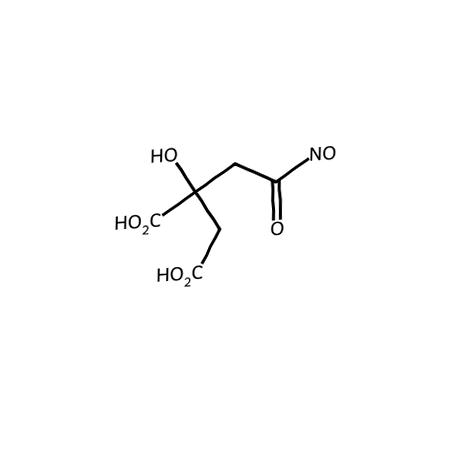 O=NC(=O)CC(O)(CC(=O)O)C(=O)O